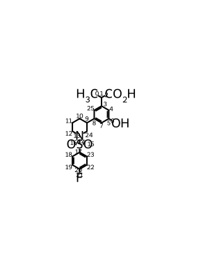 CC(C(=O)O)c1cc(O)cc(C2CCCN(S(=O)(=O)c3ccc(F)cc3)C2)c1